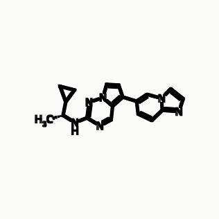 C[C@@H](Nc1ncc2c(-c3ccc4nccn4c3)ccn2n1)C1CC1